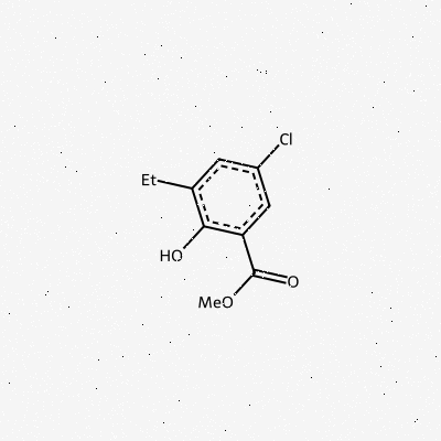 CCc1cc(Cl)cc(C(=O)OC)c1O